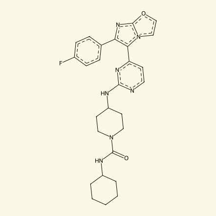 O=C(NC1CCCCC1)N1CCC(Nc2nccc(-c3c(-c4ccc(F)cc4)nc4occn34)n2)CC1